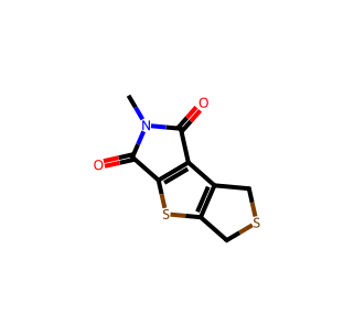 CN1C(=O)c2sc3c(c2C1=O)CSC3